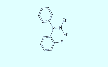 CCN(CC)P(c1ccccc1)c1ccccc1F